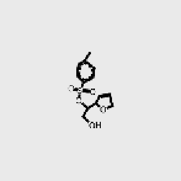 Cc1ccc(S(=O)(=O)OC(CO)C2C=CCO2)cc1